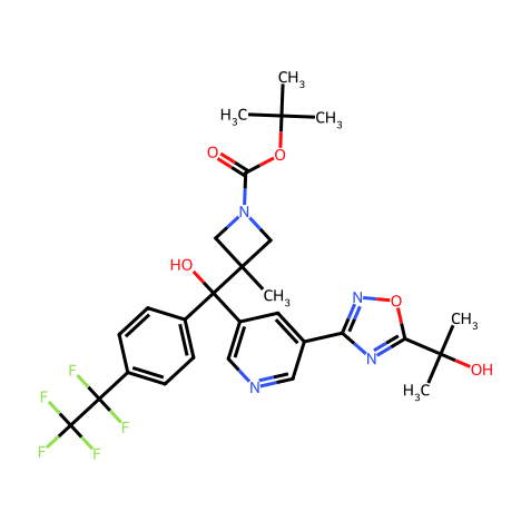 CC(C)(C)OC(=O)N1CC(C)(C(O)(c2ccc(C(F)(F)C(F)(F)F)cc2)c2cncc(-c3noc(C(C)(C)O)n3)c2)C1